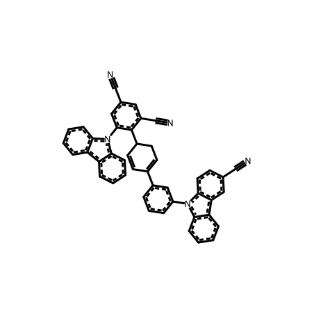 N#Cc1cc(C#N)c(C2C=CC(c3cccc(-n4c5ccccc5c5cc(C#N)ccc54)c3)=CC2)c(-n2c3ccccc3c3ccccc32)c1